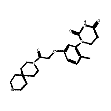 Cc1ccc(OCC(=O)N2CCC3(CCNCC3)CC2)cc1N1CCC(=O)NC1=O